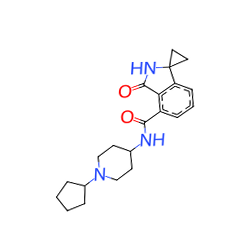 O=C(NC1CCN(C2CCCC2)CC1)c1cccc2c1C(=O)NC21CC1